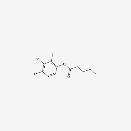 CCCCC(=O)Oc1ccc(F)c(Br)c1F